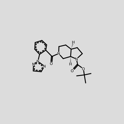 CC(C)(C)OC(=O)N1CC[C@@H]2CCN(C(=O)c3ccccc3-n3nccn3)C[C@@H]21